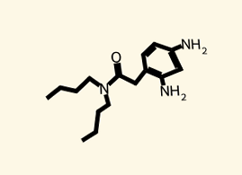 CCCCN(CCCC)C(=O)Cc1ccc(N)cc1N